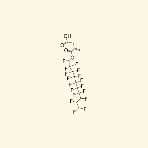 C=C(CC(=O)O)C(=O)OC(F)C(F)(F)C(F)(F)C(F)(F)C(F)(F)C(F)(F)C(F)(F)C(F)C(F)C(F)F